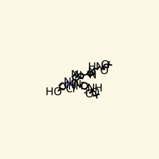 CC(C)(C)OC(=O)NCCn1cc(-c2cc3c(N[C@H]4CC[C@H](NC(=O)OC(C)(C)C)CC4)c(/C(N)=N/c4ccc(O)cc4Cl)cnn3c2)cn1